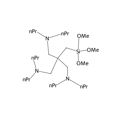 CCCN(CCC)CC(CN(CCC)CCC)(CN(CCC)CCC)C[Si](OC)(OC)OC